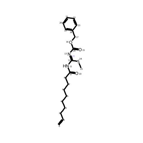 C=CCCCCCCCC(=O)N/C(=N/C(=O)OCc1ccccc1)SC